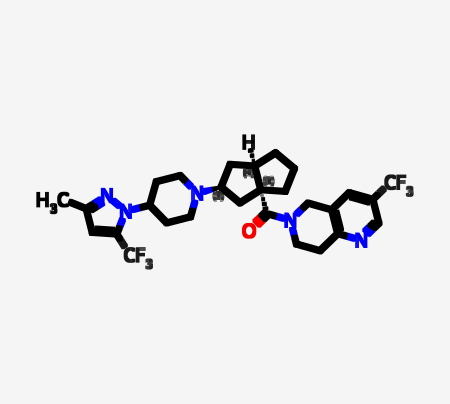 Cc1cc(C(F)(F)F)n(C2CCN([C@H]3C[C@H]4CCC[C@@]4(C(=O)N4CCc5ncc(C(F)(F)F)cc5C4)C3)CC2)n1